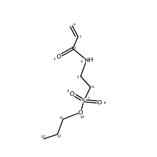 C=CC(=O)NCCS(=O)(=O)OCCC